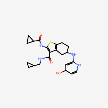 O=C(NCC1CC1)c1c(NC(=O)C2CC2)sc2c1CC(NC1=CC(O)C=CN1)CC2